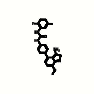 COc1ccc(-c2ccc(NC(=O)Nc3cc(C)ccc3F)cc2)c2c(N)onc12